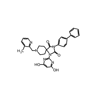 Cc1cccnc1CN1CCC2(CC1)C(=O)N(c1ccc(-c3ccccc3)cc1)C(=O)N2c1nc(O)cc(O)n1